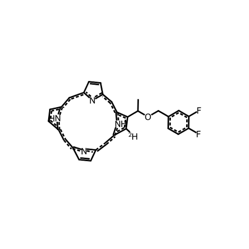 [2H]c1c(C(C)OCc2ccc(F)c(F)c2)c2cc3nc(cc4ccc(cc5nc(cc1[nH]2)C=C5)[nH]4)C=C3